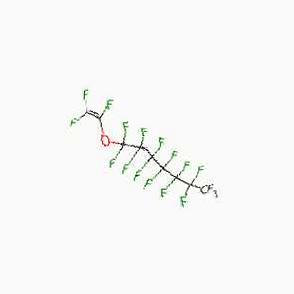 FC(F)=C(F)OC(F)(F)C(F)(F)C(F)(F)C(F)(F)C(F)(F)C(F)(F)C(F)(F)F